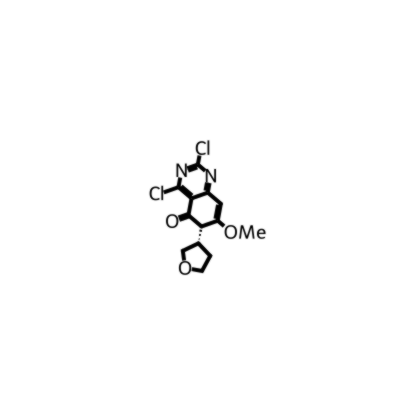 COC1=Cc2nc(Cl)nc(Cl)c2C(=O)C1[C@@H]1CCOC1